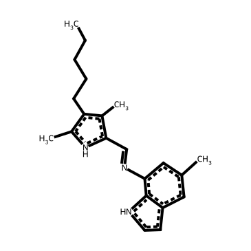 CCCCCc1c(C)[nH]c(C=Nc2cc(C)cc3cc[nH]c23)c1C